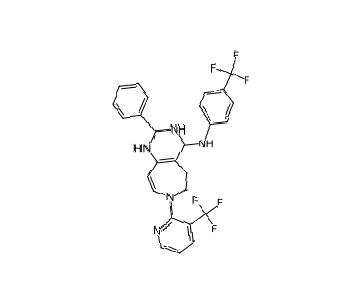 FC(F)(F)c1ccc(NC2NC(c3ccccc3)NC3=C2CCN(c2ncccc2C(F)(F)F)C=C3)cc1